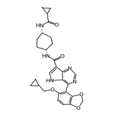 O=C(N[C@H]1CC[C@@H](NC(=O)C2CC2)CC1)c1c[nH]c2c(-c3c(OCC4CC4)ccc4c3OCO4)ncnc12